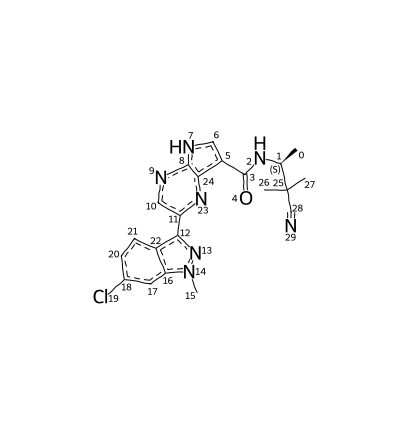 C[C@H](NC(=O)c1c[nH]c2ncc(-c3nn(C)c4cc(Cl)ccc34)nc12)C(C)(C)C#N